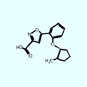 C[C@@H]1CCC[C@@H]1Oc1ccccc1-c1cc(C(=O)O)no1